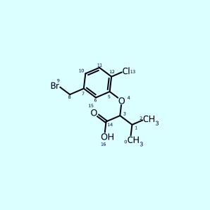 CC(C)C(Oc1cc(CBr)ccc1Cl)C(=O)O